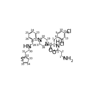 NCCC(=O)N[C@H](Cc1ccc(Cl)cc1Cl)C(=O)N1CCN(c2ccccc2CNCCc2cccs2)CC1